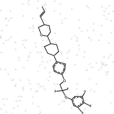 C/C=C/C1CCC(C2CCC(c3ccc(OCC(F)(F)Oc4cc(F)c(F)c(F)c4)cc3)CC2)OC1